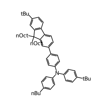 CCCCCCCCC1(CCCCCCCC)c2cc(-c3ccc(N(c4ccc(CCCC)cc4)c4ccc(C(C)(C)C)cc4)cc3)ccc2-c2ccc(C(C)(C)C)cc21